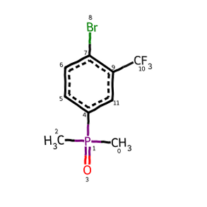 CP(C)(=O)c1ccc(Br)c(C(F)(F)F)c1